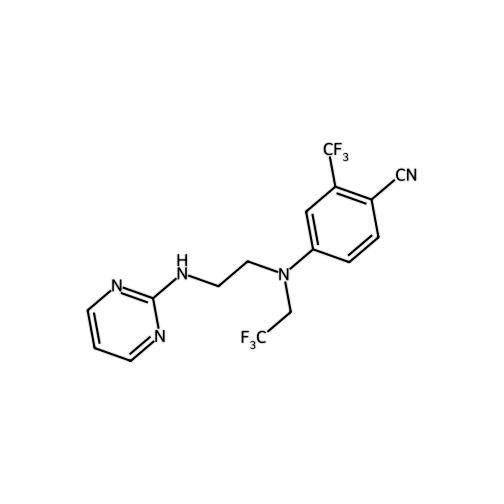 N#Cc1ccc(N(CCNc2ncccn2)CC(F)(F)F)cc1C(F)(F)F